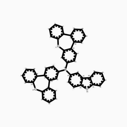 c1ccc2c(c1)Oc1cc(N(c3ccc4c(c3)-c3ccccc3Oc3ccccc3-4)c3ccc4oc5ccccc5c4c3)ccc1-c1ccccc1-2